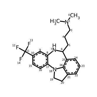 CN(C)CCCC1Nc2cc(C(F)(F)F)ccc2N2CCc3cccc1c32